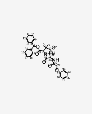 CC1(C)C(C(=O)OC(c2ccccc2)c2ccccc2)N2C(=O)C(NC(=O)COc3ccccc3)[C@@H]2[S+]1[O-]